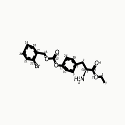 CCOC(=O)[C@@H](N)Cc1ccc(OC(=O)OCc2ccccc2Br)cc1